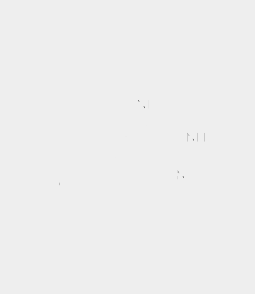 Cc1cccc(-c2ccnc(N)c2S(N)(=O)=O)c1